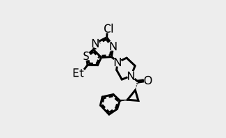 CCc1cc2c(N3CCN(C(=O)[C@@H]4C[C@H]4c4ccccc4)CC3)nc(Cl)nc2s1